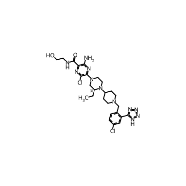 CC[C@H]1CN(c2nc(N)c(C(=O)NCCO)nc2Cl)CCN1C1CCN(Cc2ccc(Cl)cc2-c2nnn[nH]2)CC1